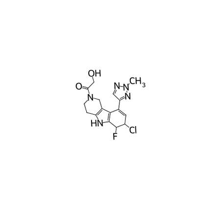 Cn1ncc(C2=CC(Cl)C(F)c3[nH]c4c(c32)CN(C(=O)CO)CC4)n1